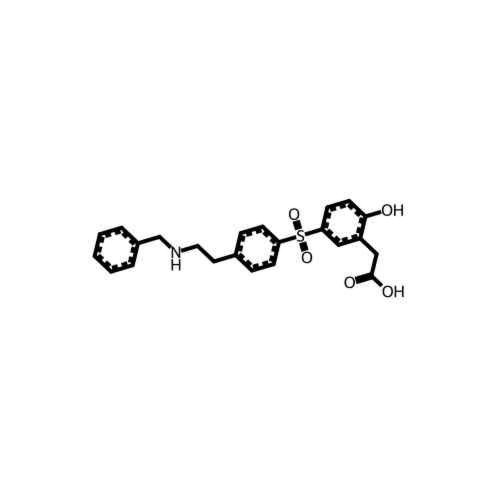 O=C(O)Cc1cc(S(=O)(=O)c2ccc(CCNCc3ccccc3)cc2)ccc1O